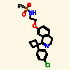 CC(C)S(=O)(=O)NCCOc1ccc2c(c1)C(C1(c3ccc(Cl)cc3)CCC1)=NCC2